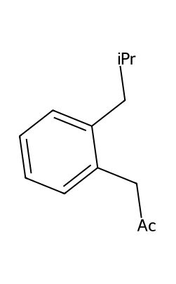 CC(=O)Cc1ccccc1CC(C)C